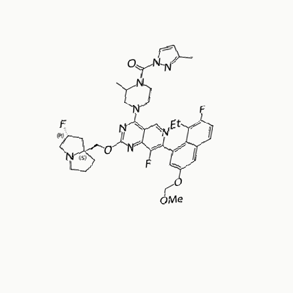 CCc1c(F)ccc2cc(OCOC)cc(-c3ncc4c(N5CCN(C(=O)n6ccc(C)n6)C(C)C5)nc(OC[C@@]56CCCN5C[C@H](F)C6)nc4c3F)c12